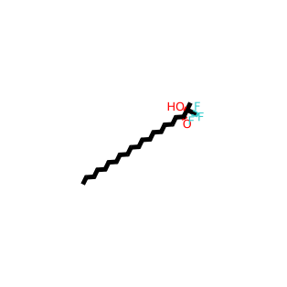 CCCCCCCCCCCCCCCCCCC(=O)C(C)(O)C(F)(F)F